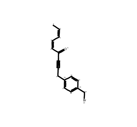 C/C=C\C=C/C(=O)C#CCc1ccc(CBr)cc1